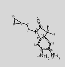 CC1(C)C(=O)N(CCC2CC2)c2cc(N)c(N)cc21